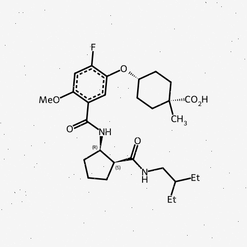 CCC(CC)CNC(=O)[C@H]1CCC[C@H]1NC(=O)c1cc(O[C@H]2CC[C@@](C)(C(=O)O)CC2)c(F)cc1OC